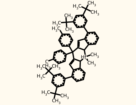 Cc1ccc(C2(c3ccc(C)cc3)C3=Cc4c(-c5cc(C(C)(C)C)cc(C(C)(C)C)c5)cccc4[CH]3[Hf]([CH3])([CH3])[CH]3C2=Cc2c(-c4cc(C(C)(C)C)cc(C(C)(C)C)c4)cccc23)cc1